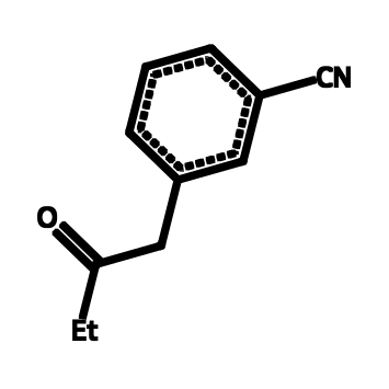 CCC(=O)Cc1cccc(C#N)c1